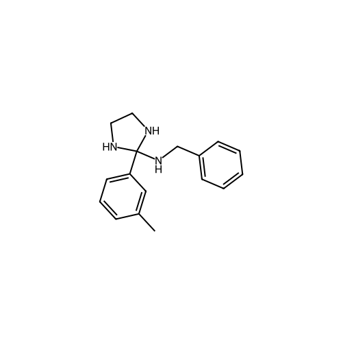 Cc1cccc(C2(NCc3ccccc3)NCCN2)c1